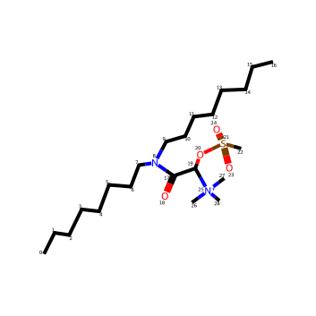 CCCCCCCCN(CCCCCCCC)C(=O)C(OS(C)(=O)=O)[N+](C)(C)C